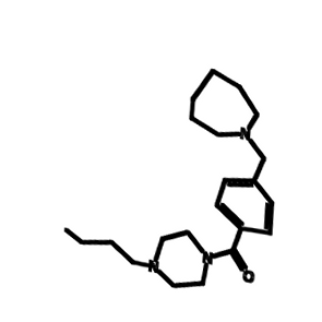 CCCCN1CCN(C(=O)c2ccc(CN3CCCCCC3)cc2)CC1